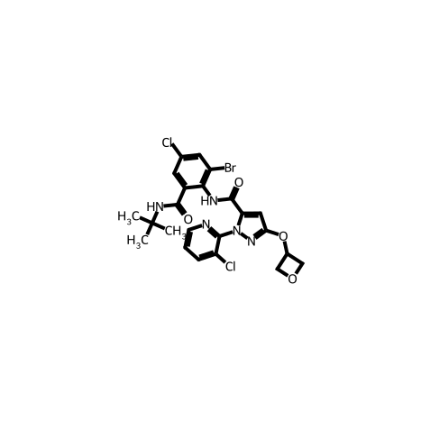 CC(C)(C)NC(=O)c1cc(Cl)cc(Br)c1NC(=O)c1cc(OC2COC2)nn1-c1ncccc1Cl